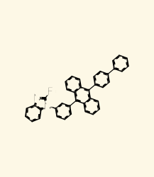 CCc1nc2ccccc2n1-c1cccc(-c2c3ccccc3c(-c3ccc(-c4ccccc4)cc3)c3ccccc23)c1